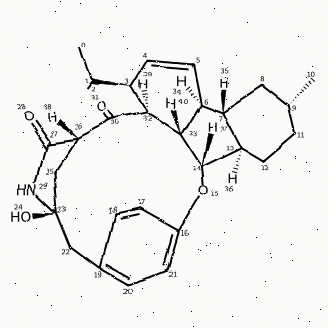 CC(C)[C@H]1C=C[C@H]2[C@@H]3C[C@H](C)CC[C@H]3[C@@H]3Oc4ccc(cc4)C[C@@]4(O)C[C@H](C(=O)N4)C(=O)[C@@H]1[C@H]23